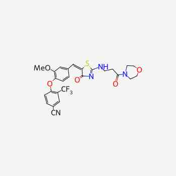 COc1cc(/C=C2/SC(NCCC(=O)N3CCOCC3)=NC2=O)ccc1Oc1ccc(C#N)cc1C(F)(F)F